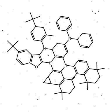 CC1=C(N2c3c(oc4ccc(C(C)(C)C)cc34)B3C4=C5C6=C(C7CC47)C(C)(C)CCC6(C)c4c(ccc6c4C(C)(C)CCC6(C)C)N5C4=C3C2CC(N(c2ccccc2)C2C=CC=CC2)=C4)C=CC(C(C)(C)C)C1